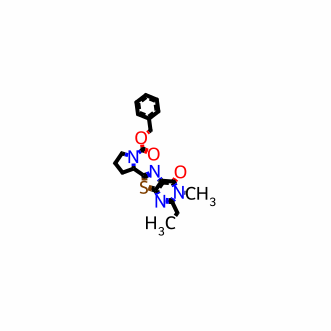 CCc1nc2sc(C3CCCN3C(=O)OCc3ccccc3)nc2c(=O)n1C